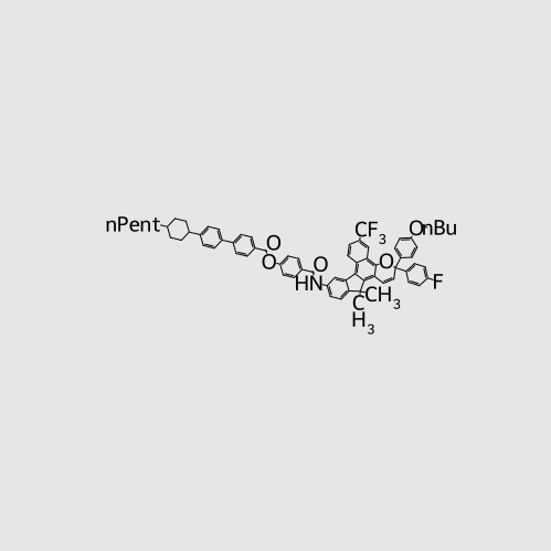 CCCCCC1CCC(c2ccc(-c3ccc(C(=O)Oc4ccc(C(=O)Nc5ccc6c(c5)-c5c(c7c(c8cc(C(F)(F)F)ccc58)OC(c5ccc(F)cc5)(c5ccc(OCCCC)cc5)C=C7)C6(C)C)cc4)cc3)cc2)CC1